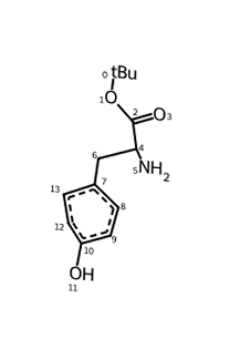 CC(C)(C)OC(=O)C(N)Cc1ccc(O)cc1